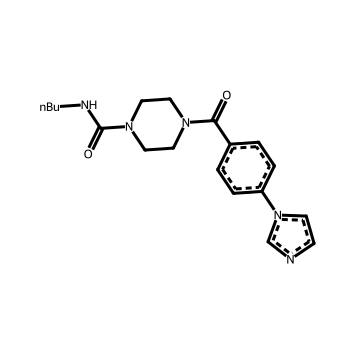 CCCCNC(=O)N1CCN(C(=O)c2ccc(-n3ccnc3)cc2)CC1